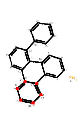 P.c1ccc(-c2ccccc2-c2c(-c3ccccc3)cccc2-c2ccccc2)cc1